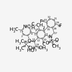 Cc1ccc(-c2c(C)c3c(c(C)c2[C@H](OC(C)(C)C)C(=O)O)N(S(C)(=O)=O)Cc2c(F)ccc(F)c2-3)c(C)n1